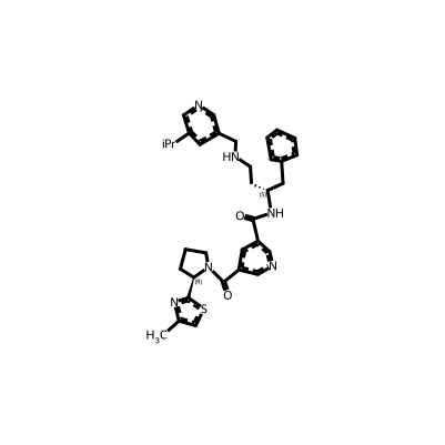 Cc1csc([C@H]2CCCN2C(=O)c2cncc(C(=O)N[C@H](CCNCc3cncc(C(C)C)c3)Cc3ccccc3)c2)n1